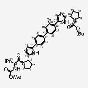 COC(=O)N[C@H](C(=O)N1CCC[C@H]1c1ncc(-c2ccc(-c3ccc(-c4cnc([C@@H]5CCCN5C(=O)OC(C)(C)C)[nH]4)c(F)c3)cc2)[nH]1)C(C)C